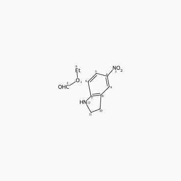 CCOC=O.O=[N+]([O-])c1ccc2c(c1)CCN2